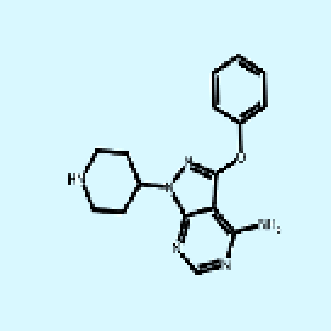 Nc1ncnc2c1c(Oc1ccccc1)nn2C1CCNCC1